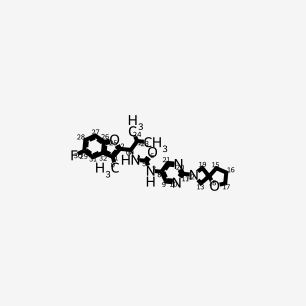 Cc1c([C@@H](NC(=O)Nc2cnc(N3CC4(CCCO4)C3)nc2)C(C)C)oc2ccc(F)cc12